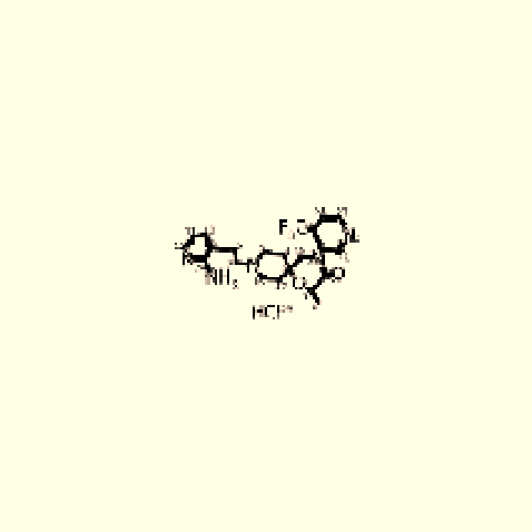 CC1OC2(CCN(CCc3cccnc3N)CC2)CN(c2cnccc2C(F)(F)F)C1=O.Cl